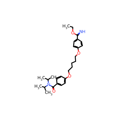 CCOC(=N)c1ccc(OCCCCCOc2ccc(C(=O)N(C(C)C)C(C)C)cc2)cc1